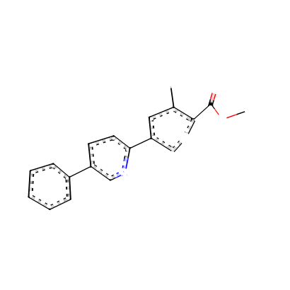 COC(=O)c1ccc(-c2ccc(-c3ccccc3)cn2)cc1C